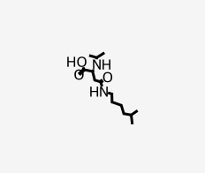 CC(C)CCCCNC(=O)CC(NC(C)C)C(=O)O